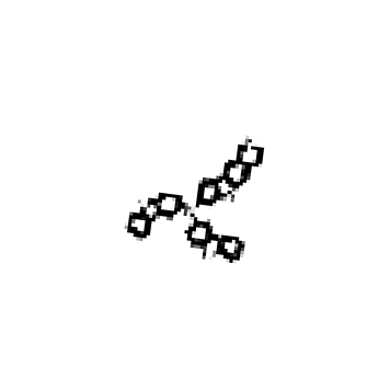 c1ccc2c(c1)oc1ccc(N(c3ccc4c(c3)sc3cc5ccncc5cc34)c3ccc4oc5ccccc5c4c3)cc12